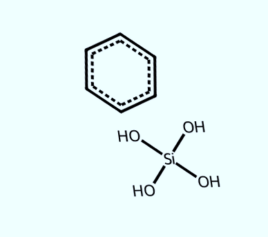 O[Si](O)(O)O.c1ccccc1